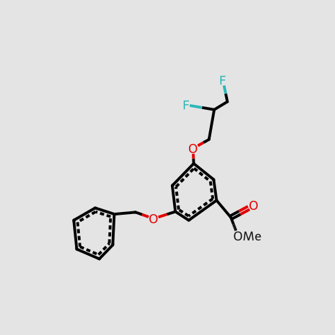 COC(=O)c1cc(OCc2ccccc2)cc(OCC(F)CF)c1